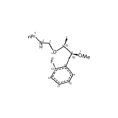 CCCNCO[C@@H](C)[C@@H](OC)c1ccccc1F